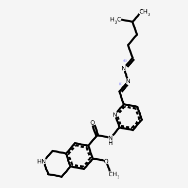 COc1cc2c(cc1C(=O)Nc1cccc(/C=N/N=C/CCC(C)C)n1)CNCC2